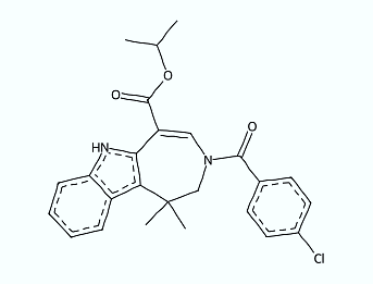 CC(C)OC(=O)C1=CN(C(=O)c2ccc(Cl)cc2)CC(C)(C)c2c1[nH]c1ccccc21